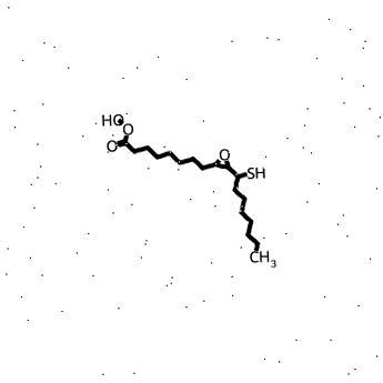 CCCCCCCC(S)C1OC1CCCCCCCC(=O)OO